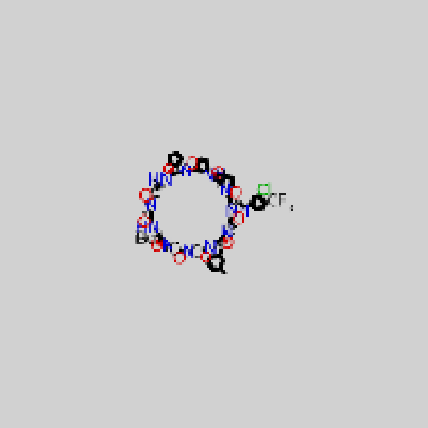 CC[C@H](C)[C@@H]1NC(=O)[C@H](C)N(C)C(=O)C[C@@H](C)NC(=O)[C@H](C2CCCC2)N(C)C(=O)C2(CCCC2)NC(=O)[C@@H]2CCCN2C(=O)[C@H](CCc2ccc(C(F)(F)F)c(Cl)c2)NC(=O)[C@@H](C)N(C)C(=O)[C@H](Cc2cccc(C)c2)N(C)C(=O)CN(C)C(=O)CN(C)C1=O